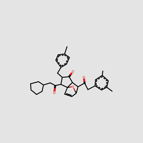 Cc1ccc(CC2C(=O)C3C(C(=O)Cc4cc(C)cc(C)c4)C4C=CC3(O4)C2C(=O)CC2CCCCC2)cc1